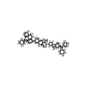 [2H]/C(=C(/[2H])c1ccc2c(c1)sc1cc(N(c3ccccc3)c3ccccc3)ccc12)c1ccc2cc(-c3ccc4c5c3ccc3cccc(c35)n4-c3ccccc3)ccc2c1